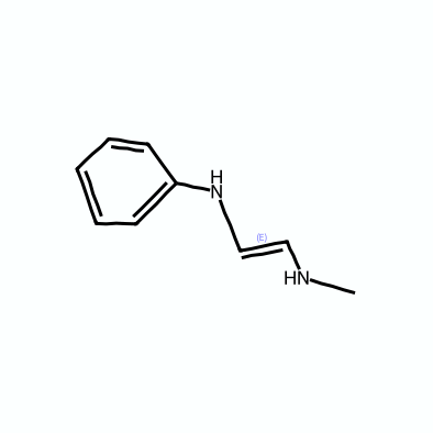 CN/C=C/Nc1ccccc1